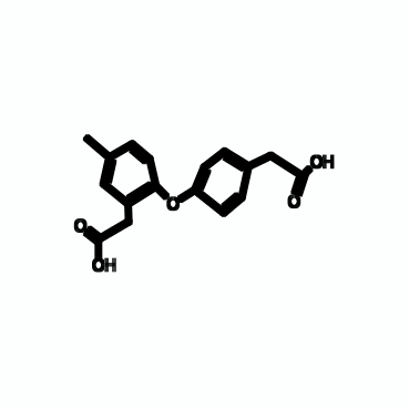 Cc1ccc(Oc2ccc(CC(=O)O)cc2)c(CC(=O)O)c1